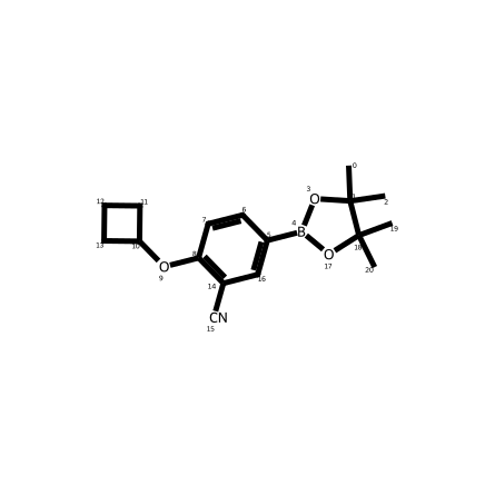 CC1(C)OB(c2ccc(OC3CCC3)c(C#N)c2)OC1(C)C